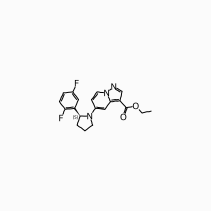 CCOC(=O)c1cnn2ccc(N3CCC[C@H]3c3cc(F)ccc3F)cc12